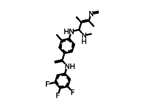 C=N/C(C)=C(\C)C(NC)Nc1ccc(C(=C)Nc2cc(F)c(F)c(F)c2)cc1C